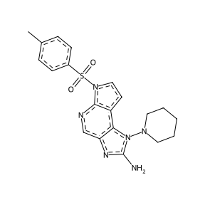 Cc1ccc(S(=O)(=O)n2ccc3c2ncc2nc(N)n(N4CCCCC4)c23)cc1